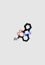 CC(C)C(=O)C1CCCc2nc3ccccc3c(=O)n21